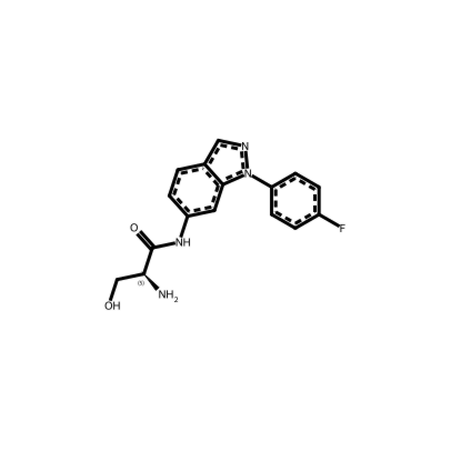 N[C@@H](CO)C(=O)Nc1ccc2cnn(-c3ccc(F)cc3)c2c1